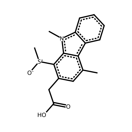 Cc1cc(CC(=O)O)c([S+](C)[O-])c2c1c1ccccc1n2C